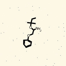 CCC(C)(C)OC(N)COc1ccccc1